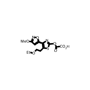 CCOCCc1sc(OC(=O)C(=O)O)nc1-c1cc(OC)no1